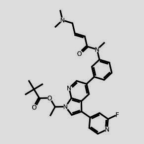 CC(OC(=O)C(C)(C)C)n1cc(-c2ccnc(F)c2)c2cc(-c3cccc(N(C)C(=O)C=CCN(C)C)c3)cnc21